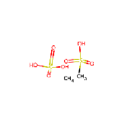 C.CS(=O)(=O)O.O=S(=O)(O)O